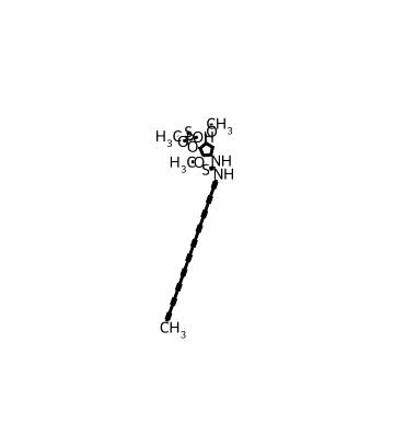 CC#CC#CC#CC#CC#CC#CC#CC#CC#CC#CNC(=S)N[C@@H]1C[C@H](COC)[C@H](OP(O)(=S)OC)C1OC